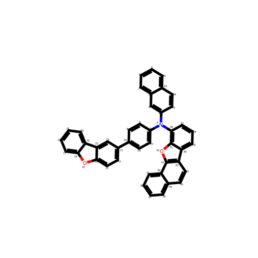 c1ccc2cc(N(c3ccc(-c4ccc5oc6ccccc6c5c4)cc3)c3cccc4c3oc3c5ccccc5ccc43)ccc2c1